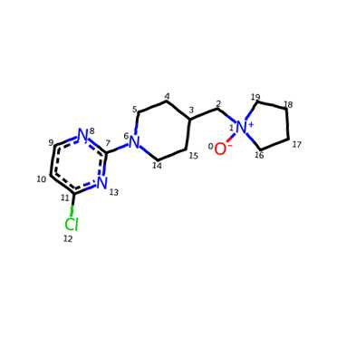 [O-][N+]1(CC2CCN(c3nccc(Cl)n3)CC2)CCCC1